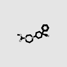 COC(=O)N1CCCN(C2CCC(C#N)(c3ccccc3)CC2)CC1